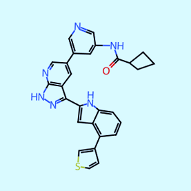 O=C(Nc1cncc(-c2cnc3[nH]nc(-c4cc5c(-c6ccsc6)cccc5[nH]4)c3c2)c1)C1CCC1